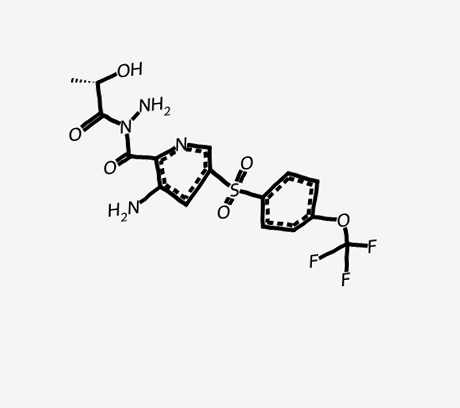 C[C@H](O)C(=O)N(N)C(=O)c1ncc(S(=O)(=O)c2ccc(OC(F)(F)F)cc2)cc1N